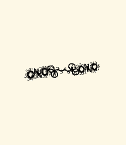 O=C(CCCCC(=O)Oc1ccc(N=Nc2ccccc2)cc1)Oc1ccc(N=Nc2ccccc2)cc1